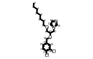 CCCCCCCCOCC(Cn1ccnc1)OCc1ccc(Cl)c(Cl)c1